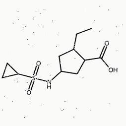 CCC1CC(NS(=O)(=O)C2CC2)CC1C(=O)O